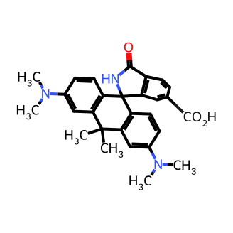 CN(C)c1ccc2c(c1)C(C)(C)c1cc(N(C)C)ccc1C21NC(=O)c2ccc(C(=O)O)cc21